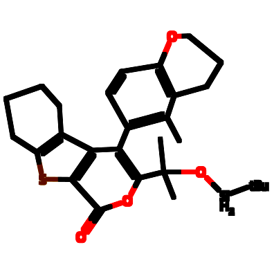 Cc1c(-c2c(C(C)(C)O[SiH2]C(C)(C)C)oc(=O)c3sc4c(c23)CCCC4)ccc2c1CCCO2